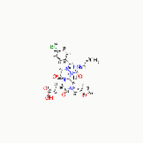 C=CCNC(=O)N1[C@H]2CN(Cc3ccco3)C(=O)[C@H](CCC(=O)O)N2C(=O)CN1Cc1ccc(Br)cc1